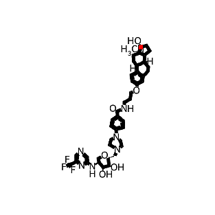 C[C@]12CC[C@@H]3c4ccc(OCCCNC(=O)c5ccc(N6CCN(C[C@H]7OC[C@H](Nc8cncc(C(F)(F)F)n8)[C@@H](O)[C@H]7O)CC6)cc5)cc4CC[C@H]3[C@@H]1CC[C@@H]2O